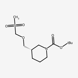 CC(C)(C)OC(=O)N1CCC[C@H](COCS(C)(=O)=O)C1